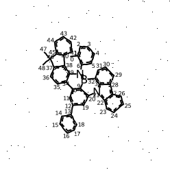 Cc1ccccc1N1B2c3c(cc(-c4ccccc4)cc3-n3c4ccccc4c4cccc2c43)-c2ccc3c(c21)-c1ccccc1C3(C)C